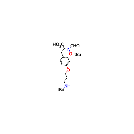 CC(C)(C)NCCCOc1ccc(CC(C(=O)O)N(C=O)OC(C)(C)C)cc1